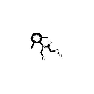 CCOCC(=O)N(CCl)c1c(C)cccc1C